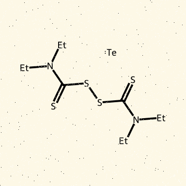 CCN(CC)C(=S)SSC(=S)N(CC)CC.[Te]